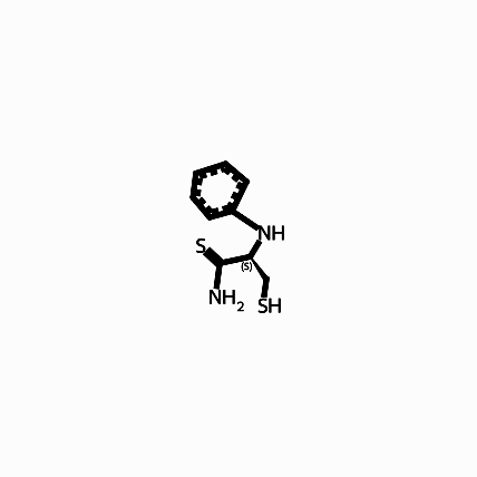 NC(=S)[C@H](CS)Nc1ccccc1